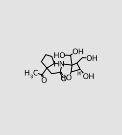 CC(=O)C1(CC(=O)NC2(C(O)O)C(O)[C@H](O)C2CO)CCCC1